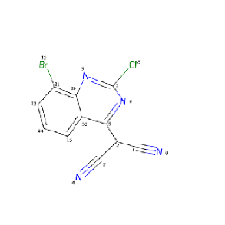 N#CC(C#N)c1nc(Cl)nc2c(Br)cccc12